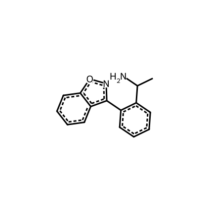 CC(N)c1ccccc1-c1noc2ccccc12